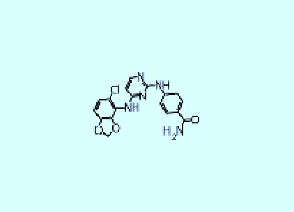 NC(=O)c1ccc(Nc2nccc(Nc3c(Cl)ccc4c3OCO4)n2)cc1